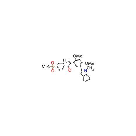 C=C(C(=O)c1ccc(S(=O)(=O)NC)cc1)c1cc(-c2cc3ccccc3n2C)c(OC)cc1OC